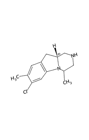 Cc1cc2c(cc1Cl)N1C(C)CNC[C@H]1C2